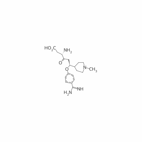 CN1CCC([C@H](CC(=O)[C@@H](N)CC(=O)O)Oc2ccc(C(=N)N)cc2)CC1